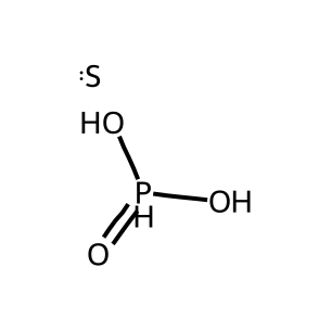 O=[PH](O)O.[S]